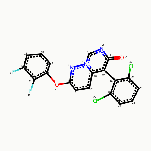 O=c1ncn2nc(Oc3cccc(F)c3F)ccc2c1-c1c(Cl)cccc1Cl